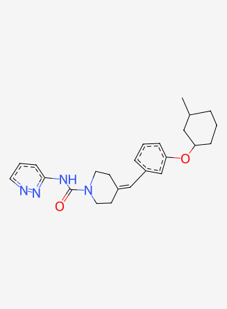 CC1CCCC(Oc2cccc(C=C3CCN(C(=O)Nc4cccnn4)CC3)c2)C1